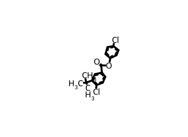 CC(C)(C)c1cc(C(=O)Oc2ccc(Cl)cc2)ccc1Cl